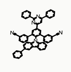 N#Cc1cccc(-c2cc(-c3cc(-c4ccccc4)nc(-c4ccccc4)n3)cc(-c3cccc(C#N)c3)c2-n2c3ccccc3c3cc(-c4ccccc4)ccc32)c1